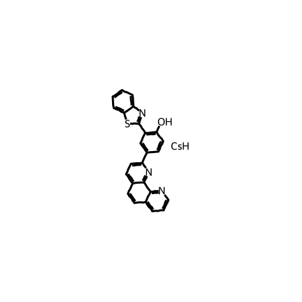 Oc1ccc(-c2ccc3ccc4cccnc4c3n2)cc1-c1nc2ccccc2s1.[CsH]